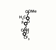 COC(=O)CCc1ccc(Oc2cc(F)cc(CCNC(=O)c3ccc(C(F)(F)F)cc3Cl)c2)cc1C